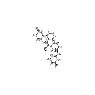 O=c1c2c(c3cccnc3n1Cc1ccc(F)cc1)CCN(Cc1cccc(F)c1)C2